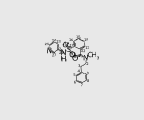 CN(CCc1ccccc1)C(=O)c1ccccc1S(=O)(=O)Nc1cccnc1